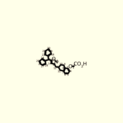 O=C(O)COc1cccc2c1CCC(Cc1cc(C(c3ccccc3)c3ccccc3)on1)C2